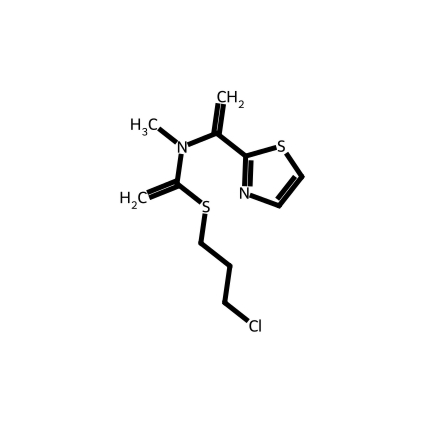 C=C(SCCCCl)N(C)C(=C)c1nccs1